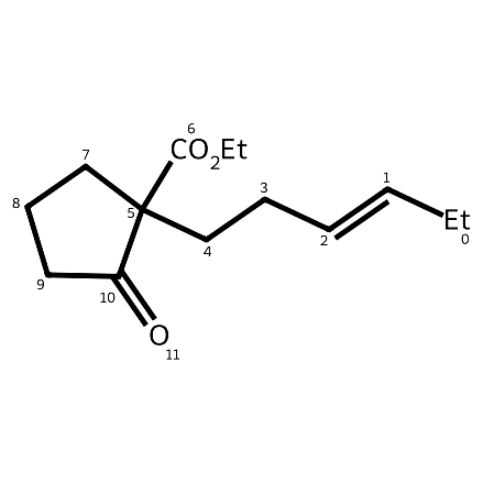 CCC=CCCC1(C(=O)OCC)CCCC1=O